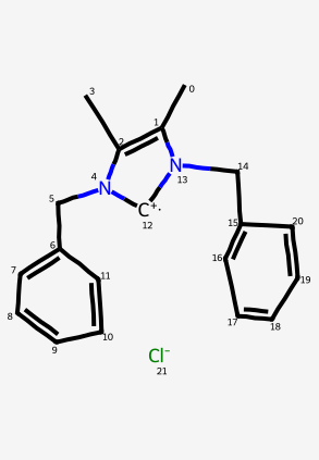 CC1=C(C)N(Cc2ccccc2)[C+]N1Cc1ccccc1.[Cl-]